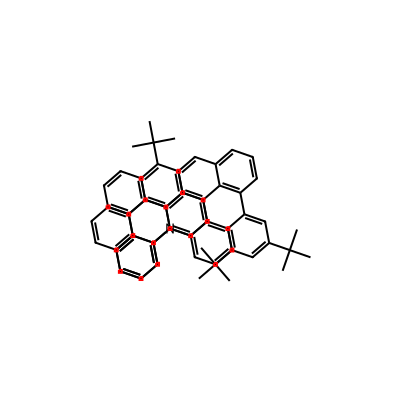 CC(C)(C)c1cc(-c2cccc3cccc(-c4ccccc4N(c4ccc(C(C)(C)C)cc4-c4ccccc4)c4ccccc4-c4ccccc4-c4ccccc4-c4ccccc4)c23)cc(C(C)(C)C)c1